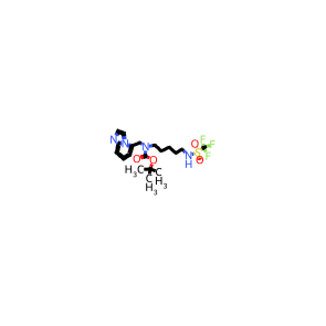 CC(C)(C)OC(=O)N(CCCCCNS(=O)(=O)C(F)(F)F)Cc1cccc2nccn12